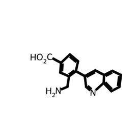 NCc1cc(C(=O)O)ccc1-c1cnc2ccccc2c1